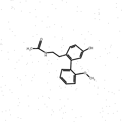 COc1ccccc1-c1cc(O)ccc1CCNC(C)=O